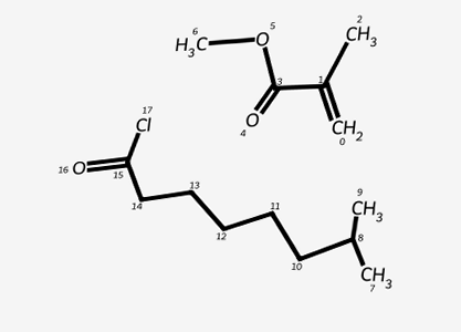 C=C(C)C(=O)OC.CC(C)CCCCCC(=O)Cl